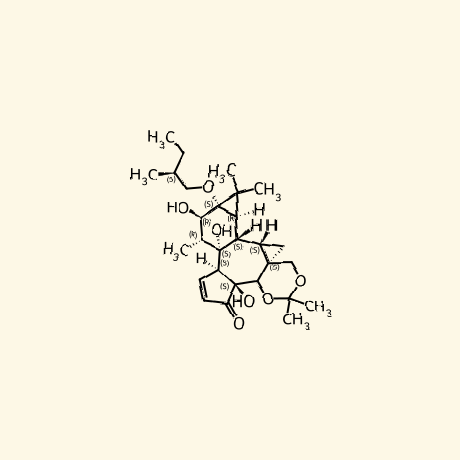 CC[C@H](C)CO[C@@]12[C@H](O)[C@@H](C)[C@@]3(O)[C@H]([C@@H]1C2(C)C)[C@@H]1C[C@@]12COC(C)(C)OC2[C@]1(O)C(=O)C=C[C@@H]31